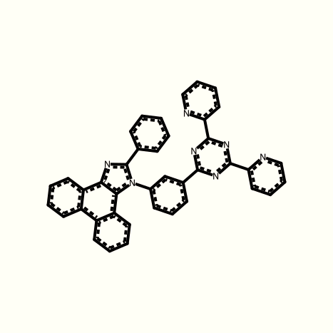 c1ccc(-c2nc3c4ccccc4c4ccccc4c3n2-c2cccc(-c3nc(-c4ccccn4)nc(-c4ccccn4)n3)c2)cc1